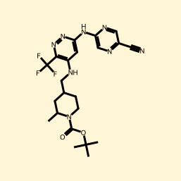 CC1CC(CNc2cc(Nc3cnc(C#N)cn3)nnc2C(F)(F)F)CCN1C(=O)OC(C)(C)C